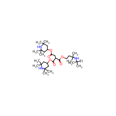 CCC(C)(C)NC(C)(C)CCOC(=O)C(CC(=O)OC1CC(C)(C)NC(C)(C)C1)C(=O)OC1CC(C)(C)NC(C)(C)C1